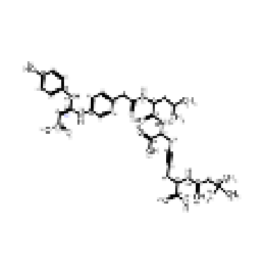 CC(C)CC(NC(=O)Cc1ccc(N/C(=C\[N+](=O)[O-])Nc2ccc(O)cc2)cc1)C(=O)NC(CC#CCC(NC(=O)CC(C)(C)C)C(=O)O)C(=O)O